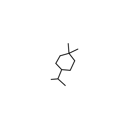 CC(C)C1CCC(C)(C)CC1